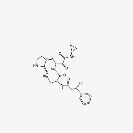 CCC(CC(=O)NC(CC(C)(C)C)C(=O)NC(C[C@@H]1CCNC1=O)C(=O)C(=O)NC1CC1)c1ccccc1